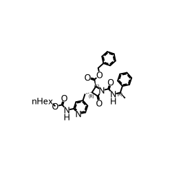 CCCCCCOC(=O)Nc1cc(C[C@H]2C(=O)N(C(=O)N[C@H](C)c3ccccc3)[C@@H]2C(=O)OCc2ccccc2)ccn1